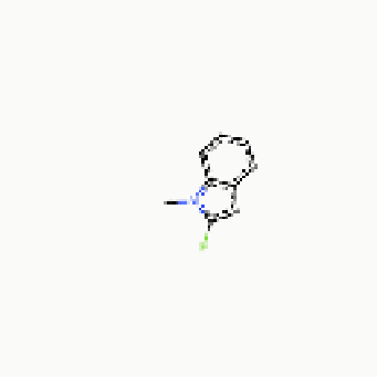 Cn1c(F)cc2ccccc21